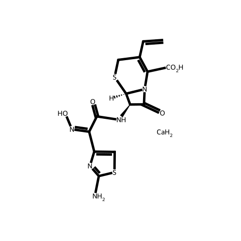 C=CC1=C(C(=O)O)N2C(=O)[C@@H](NC(=O)/C(=N\O)c3csc(N)n3)[C@H]2SC1.[CaH2]